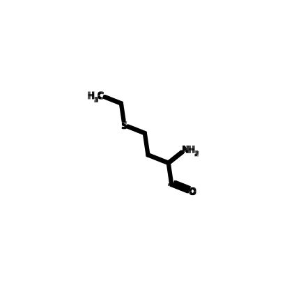 CCSCCC(N)[C]=O